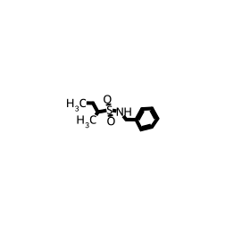 CCC(C)S(=O)(=O)NCc1ccccc1